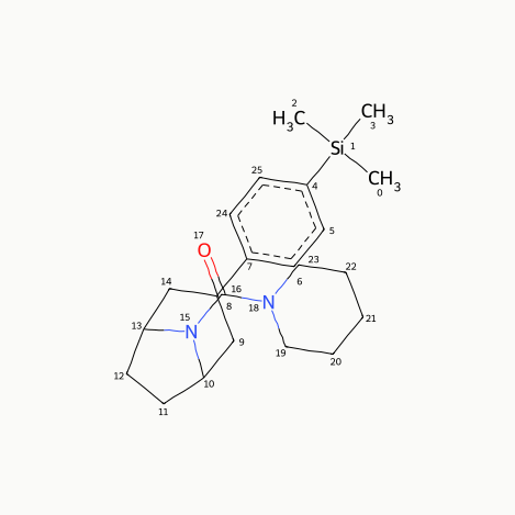 C[Si](C)(C)c1ccc(C2CC3CCC(C2)N3C(=O)N2CCCCC2)cc1